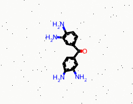 Nc1ccc(C(=O)c2ccc(N)c(N)c2)cc1N